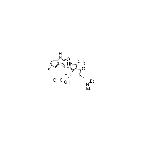 CCN(CC)CCNC(=O)c1c(C)[nH]c(/C=C2\C(=O)Nc3ccc(F)cc32)c1C.O=CO